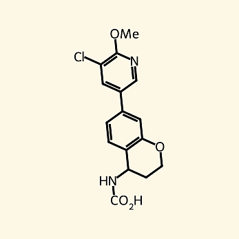 COc1ncc(-c2ccc3c(c2)OCCC3NC(=O)O)cc1Cl